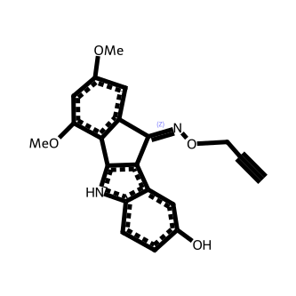 C#CCO/N=C1/c2cc(OC)cc(OC)c2-c2[nH]c3ccc(O)cc3c21